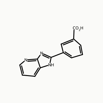 O=C(O)c1cccc(-c2nc3ncccc3[nH]2)c1